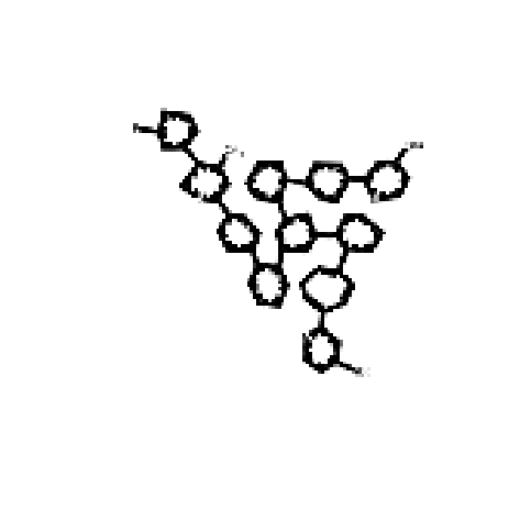 Cc1cc(-c2ccc(-c3ccccc3-c3cc(-c4ccccc4C4=CCC=C(c5cc(C(C)(C)C)ccn5)C=C4)cc(-c4ccccc4-c4ccc(-c5cc(C(C)(C)C)ccn5)cc4)c3)cc2)ncc1-c1cccc(F)c1